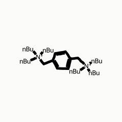 CCCC[N+](CCCC)(CCCC)Cc1ccc(C[N+](CCCC)(CCCC)CCCC)cc1